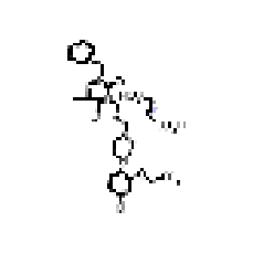 Cc1cn(Cc2ccccc2)c(=O)n(CCCN2CCN(c3ccc(Cl)cc3OCC(F)(F)F)CC2)c1=O.O=C(O)/C=C/C(=O)O